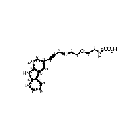 O=C(O)NCCOCCOCC#Cc1cnc2[nH]c3ccccc3c2c1